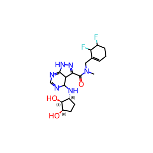 CN(CC1=CCCC(F)C1F)C(=O)C1=NNC2=NC=NC(N[C@@H]3CC[C@@H](O)[C@H]3O)C21